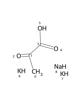 CC(=O)C(=O)O.[KH].[KH].[NaH]